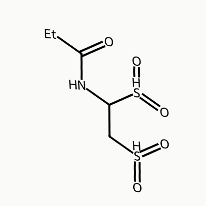 CCC(=O)NC(C[SH](=O)=O)[SH](=O)=O